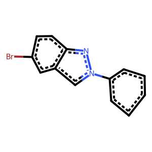 Brc1ccc2nn(-c3ccccc3)cc2c1